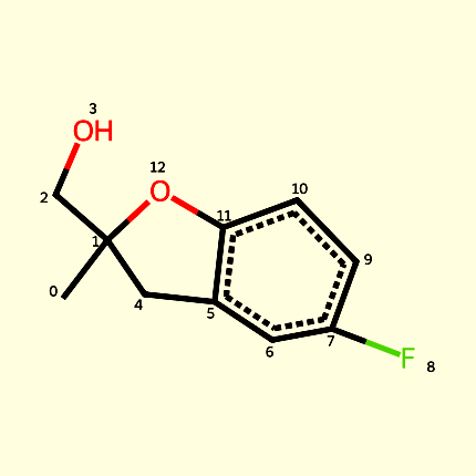 CC1(CO)Cc2cc(F)ccc2O1